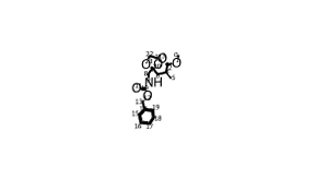 COC(=O)[C@@H](C)CC1(CNC(=O)OCc2ccccc2)OCCO1